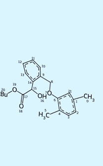 Cc1ccc(C)c(OCc2ccccc2C(O)C(=O)OC(C)(C)C)c1